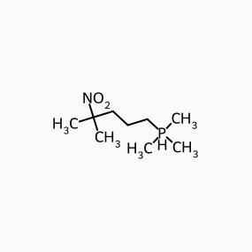 CC(C)(CCC[PH](C)(C)C)[N+](=O)[O-]